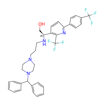 OC[C@H](NCCCN1CCN(C(c2ccccc2)c2ccccc2)CC1)c1ccc(-c2ccc(C(F)(F)F)cc2)nc1C(F)(F)F